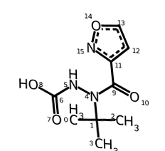 CC(C)(C)N(NC(=O)O)C(=O)c1ccon1